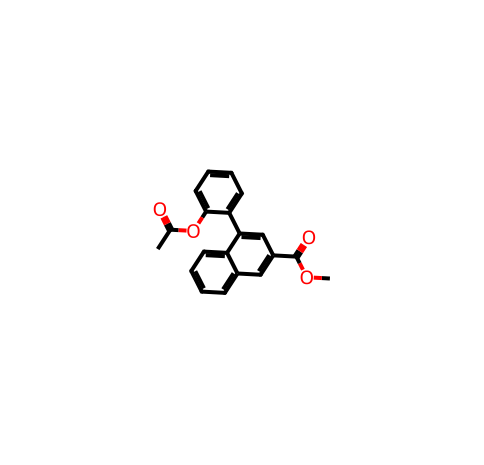 COC(=O)c1cc(-c2ccccc2OC(C)=O)c2ccccc2c1